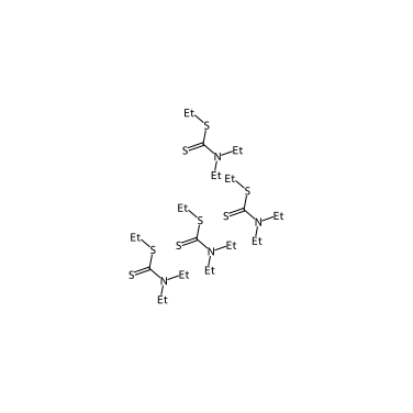 CCSC(=S)N(CC)CC.CCSC(=S)N(CC)CC.CCSC(=S)N(CC)CC.CCSC(=S)N(CC)CC